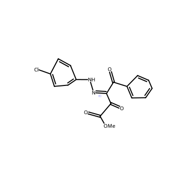 COC(=O)C(=O)/C(=N/Nc1ccc(Cl)cc1)C(=O)c1ccccc1